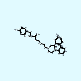 O=C(CCOCCN1CCN(c2ccccc2-c2ccc(F)cc2)CC1)NCc1ccc(F)nc1